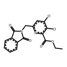 CCOC(=O)c1nc(CN2C(=O)c3ccccc3C2=O)cc(Cl)c1Cl